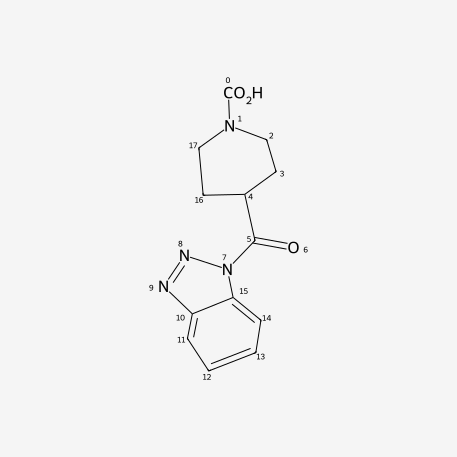 O=C(O)N1CCC(C(=O)n2nnc3ccccc32)CC1